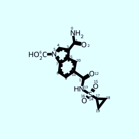 NC(=O)c1cn(C(=O)O)c2ccc(C(=O)NS(=O)(=O)C3CC3)cc12